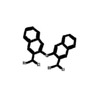 CCC(Cl)c1cc2ccccc2cc1Oc1cc2ccccc2cc1C(Cl)CC